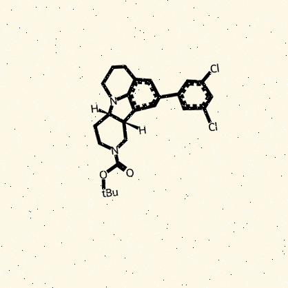 CC(C)(C)OC(=O)N1CC[C@H]2[C@@H](C1)c1cc(-c3cc(Cl)cc(Cl)c3)cc3c1N2CCC3